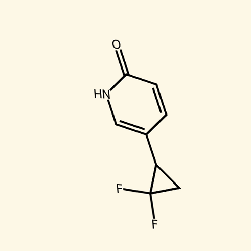 O=c1ccc(C2CC2(F)F)c[nH]1